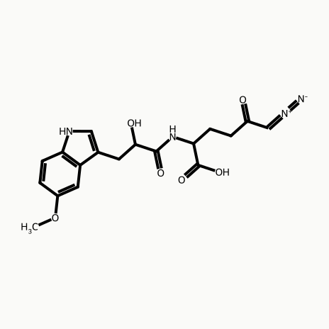 COc1ccc2[nH]cc(CC(O)C(=O)NC(CCC(=O)C=[N+]=[N-])C(=O)O)c2c1